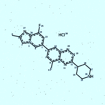 Cc1cn2cc(-c3cc(F)c4nc(C5CCNCC5)nnc4c3)cc(F)c2n1.Cl